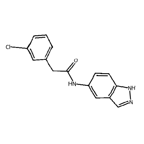 O=C(Cc1cccc(Cl)c1)Nc1ccc2[nH]ncc2c1